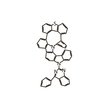 c1ccc(-c2nc(-n3c4ccccc4c4c3ccc3c5cccc6c7cccc8sc9cccc(c%10ccccc%10n(c65)c34)c9c87)nc3ccccc23)cc1